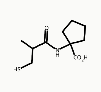 CC(CS)C(=O)NC1(C(=O)O)CCCC1